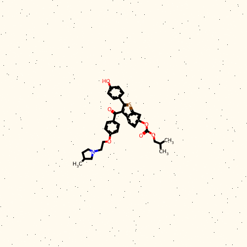 CC(C)COC(=O)Oc1ccc2c(C(=O)c3ccc(OCCN4CCC(C)C4)cc3)c(-c3ccc(O)cc3)sc2c1